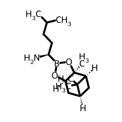 CC(C)CC[C@H](N)B1O[C@@H]2C[C@@H]3C[C@@H](C3(C)C)[C@]2(C)O1